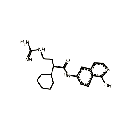 N=C(N)NCCC(C(=O)Nc1ccc2c(O)nccc2c1)C1CCCCC1